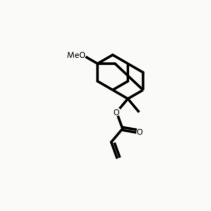 C=CC(=O)OC1(C)C2CC3CC1CC(OC)(C3)C2